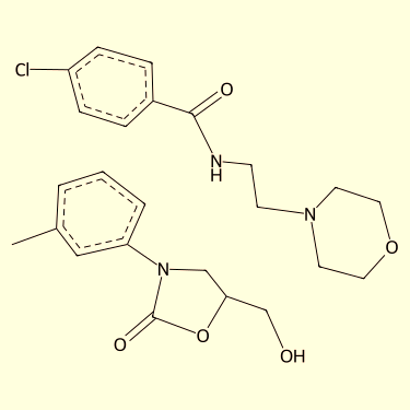 Cc1cccc(N2CC(CO)OC2=O)c1.O=C(NCCN1CCOCC1)c1ccc(Cl)cc1